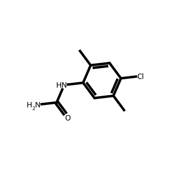 Cc1cc(NC(N)=O)c(C)cc1Cl